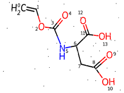 C=COC(=O)NC(CC(=O)O)C(=O)O